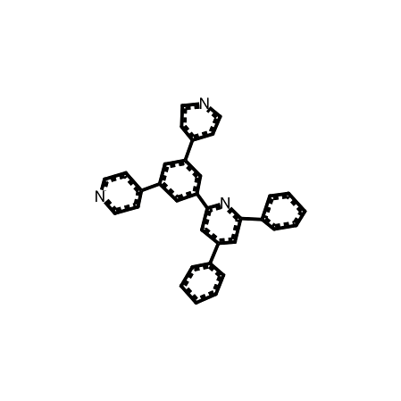 c1ccc(-c2cc(-c3ccccc3)nc(-c3cc(-c4ccncc4)cc(-c4ccncc4)c3)c2)cc1